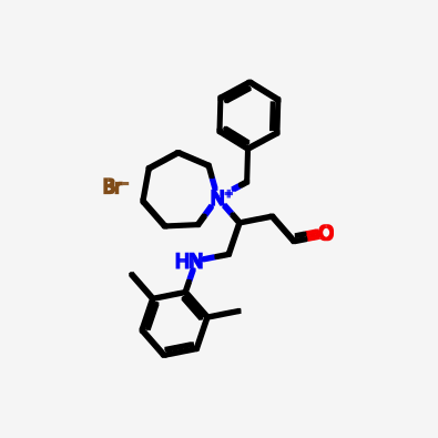 Cc1cccc(C)c1NCC(CC=O)[N+]1(Cc2ccccc2)CCCCCC1.[Br-]